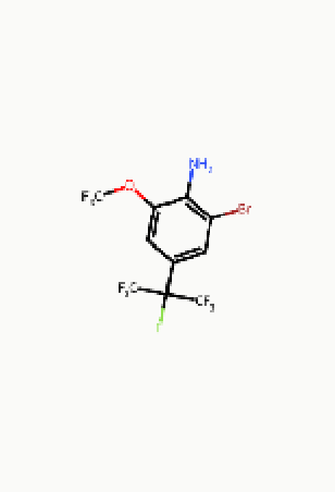 Nc1c(Br)cc(C(F)(C(F)(F)F)C(F)(F)F)cc1OC(F)(F)F